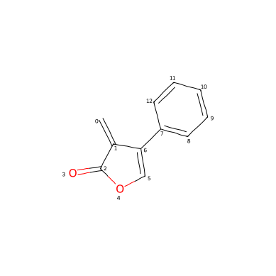 C=C1C(=O)OC=C1c1ccccc1